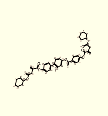 C=C(CC(=O)OC1CCCCC1)C(=O)Oc1ccc(C(=O)Oc2ccc(-c3ccc(OC(=O)C(=C)CC(=O)OC4CCCCC4)cc3)c(F)c2)cc1